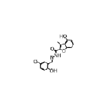 Cc1c(C(=O)N/N=C/c2cc(Cl)ccc2O)oc2cccc(O)c12